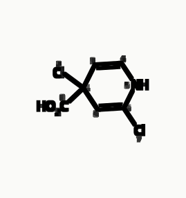 O=C(O)C1(Cl)C=CNC(Cl)=C1